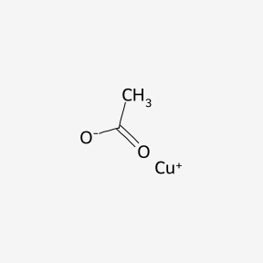 CC(=O)[O-].[Cu+]